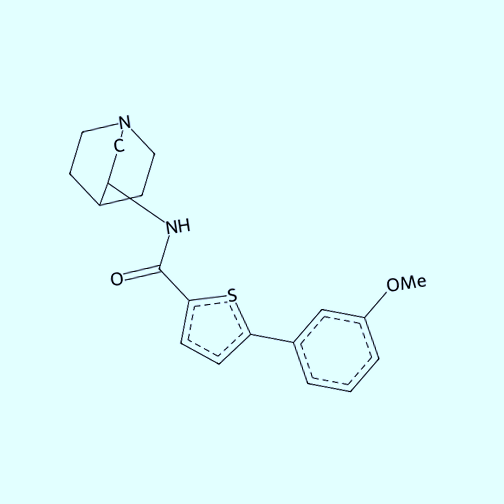 COc1cccc(-c2ccc(C(=O)NC3CN4CCC3CC4)s2)c1